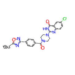 CC(C)(C)c1nc(-c2ccc(C(=O)N3CCN(c4nc5ccc(Cl)cc5c(=O)[nH]4)CC3)cc2)no1